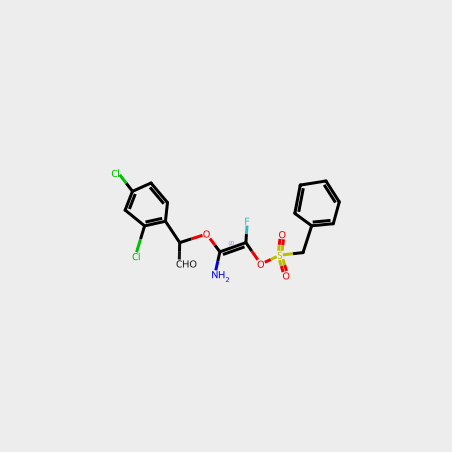 N/C(OC(C=O)c1ccc(Cl)cc1Cl)=C(/F)OS(=O)(=O)Cc1ccccc1